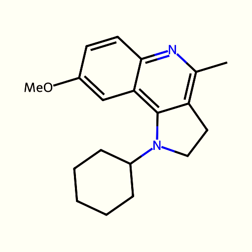 COc1ccc2nc(C)c3c(c2c1)N(C1CCCCC1)CC3